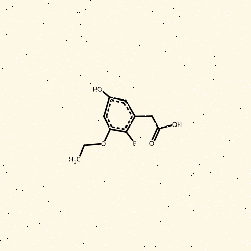 CCOc1cc(O)cc(CC(=O)O)c1F